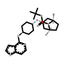 CC(C)(C)OC(=O)N1[C@@H]2CC[C@H]1C[C@H](O[C@H]1CC[C@H](Oc3nccc4sccc34)CC1)C2